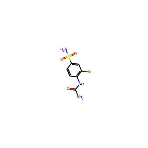 NC(=O)Nc1ccc(S(N)(=O)=O)cc1Br